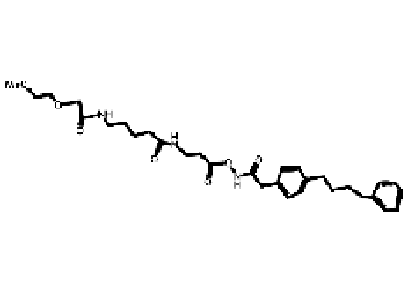 COCCOCC(=O)NCCCCC(=O)NCCC(=O)ONC(=O)Cc1ccc(CCCCc2ccccc2)cc1